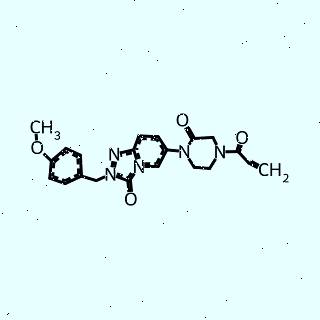 C=CC(=O)N1CCN(c2ccc3nn(Cc4ccc(OC)cc4)c(=O)n3c2)C(=O)C1